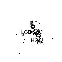 COc1ccc(-c2oc(C3(C(=O)O)CCN(C(=O)N(C)O)CC3)nc2-c2ccc(C)cc2)cc1